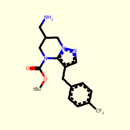 CC(C)(C)OC(=O)N1CC(CN)Cn2ncc(Cc3ccc(C(F)(F)F)cc3)c21